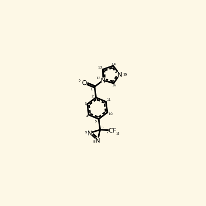 O=C(c1ccc(C2(C(F)(F)F)N=N2)cc1)n1ccnc1